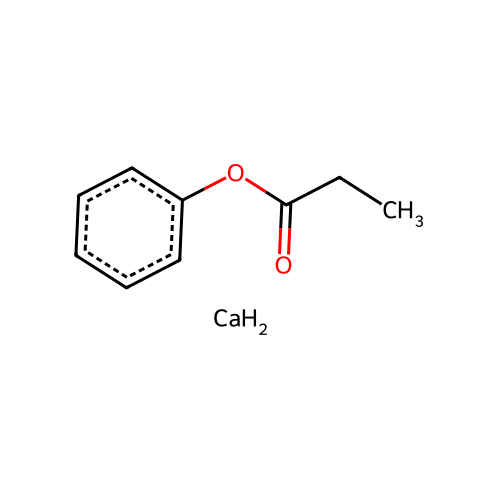 CCC(=O)Oc1ccccc1.[CaH2]